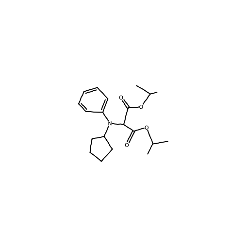 CC(C)OC(=O)C(C(=O)OC(C)C)N(c1ccccc1)C1CCCC1